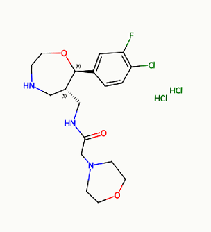 Cl.Cl.O=C(CN1CCOCC1)NC[C@@H]1CNCCO[C@H]1c1ccc(Cl)c(F)c1